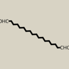 O=CCCCCCCCCCCCCCCCCC=O